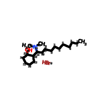 Br.CCCCCCCCCCC(C1CCCCC1O)N(C)C